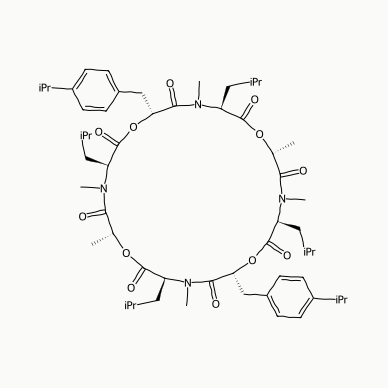 CC(C)C[C@H]1C(=O)O[C@H](Cc2ccc(C(C)C)cc2)C(=O)N(C)[C@@H](CC(C)C)C(=O)O[C@H](C)C(=O)N(C)[C@@H](CC(C)C)C(=O)O[C@H](Cc2ccc(C(C)C)cc2)C(=O)N(C)[C@@H](CC(C)C)C(=O)O[C@H](C)C(=O)N1C